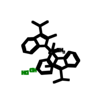 CC1=C(C(C)C)c2ccccc2[CH]1[Zr]([CH3])(=[SiH2])([c]1ccccc1)[CH]1C(C)=C(C(C)C)c2ccccc21.Cl.Cl